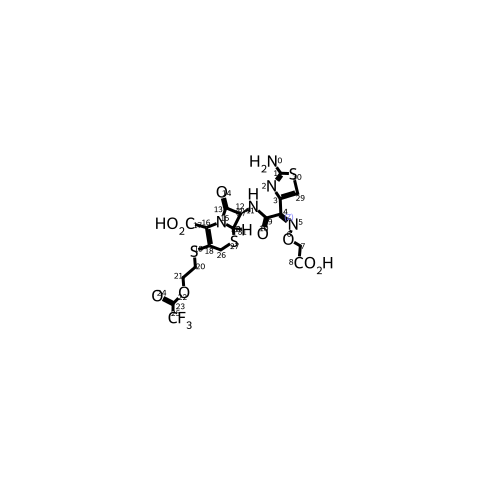 Nc1nc(/C(=N/OCC(=O)O)C(=O)N[C@@H]2C(=O)N3C(C(=O)O)=C(SCCOC(=O)C(F)(F)F)CS[C@@H]23)cs1